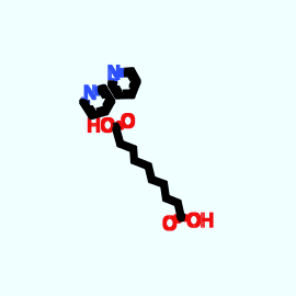 O=C(O)CCCCCCCCC(=O)O.c1ccncc1.c1ccncc1